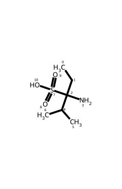 CCC(N)(C(C)C)S(=O)(=O)O